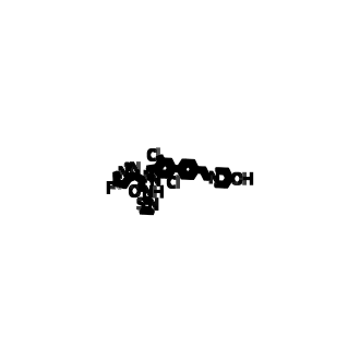 O=C(Nc1nccs1)C(c1ncn2c1C[C@@H](F)C2)n1cc2c(Cl)cc(-c3ccc(CCN4CCC(O)CC4)cc3)c(Cl)c2n1